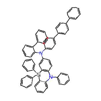 c1ccc(-c2ccc(-c3ccc(N(c4ccc5c(c4)[Si](c4ccccc4)(c4ccccc4)c4ccccc4N5c4ccccc4)c4ccccc4-c4ccccc4)cc3)cc2)cc1